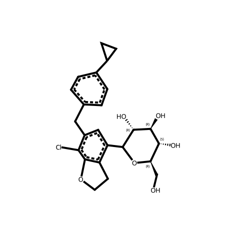 OC[C@H]1OC(c2cc(Cc3ccc(C4CC4)cc3)c(Cl)c3c2CCO3)[C@H](O)[C@@H](O)[C@@H]1O